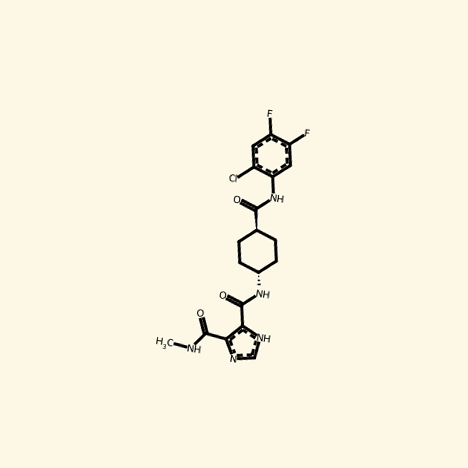 CNC(=O)c1nc[nH]c1C(=O)N[C@H]1CC[C@H](C(=O)Nc2cc(F)c(F)cc2Cl)CC1